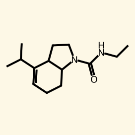 CCNC(=O)N1CCC2C(C(C)C)=CCCC21